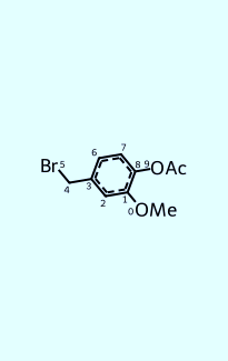 COc1cc(CBr)ccc1OC(C)=O